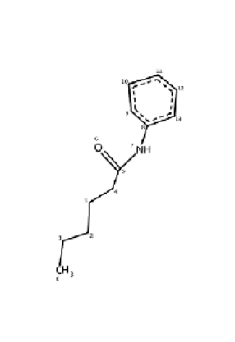 CCCCCC(=O)Nc1c[c]ccc1